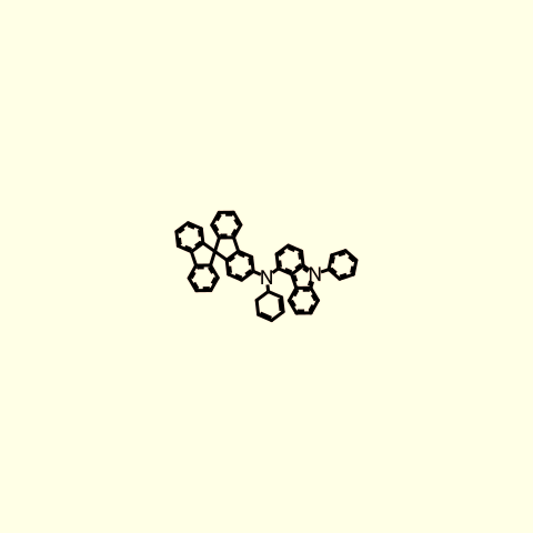 C1=CCC(N(c2ccc3c(c2)-c2ccccc2C32c3ccccc3-c3ccccc32)c2cccc3c2c2ccccc2n3-c2ccccc2)C=C1